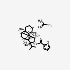 CC(C)[C@@]1(O)[C@@H](OC(=O)c2ccc[nH]2)[C@@]2(O)[C@@]3(C)C[C@]4(O)O[C@@]5([C@H](O)[C@@H](C)CC[C@]35O)[C@@]2(O)[C@@]14C.N=C(N)N